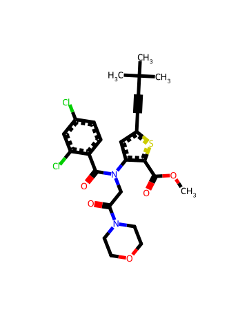 COC(=O)c1sc(C#CC(C)(C)C)cc1N(CC(=O)N1CCOCC1)C(=O)c1ccc(Cl)cc1Cl